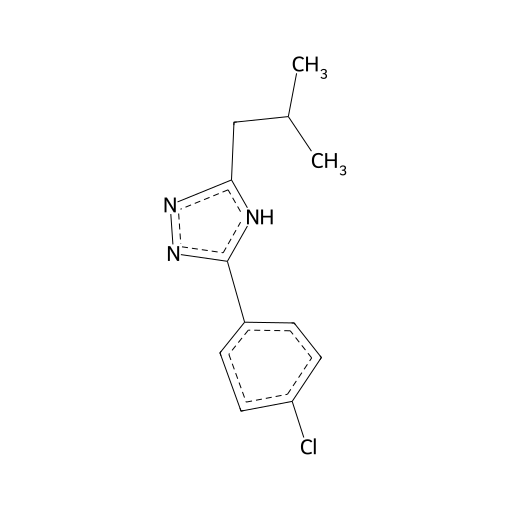 CC(C)Cc1nnc(-c2ccc(Cl)cc2)[nH]1